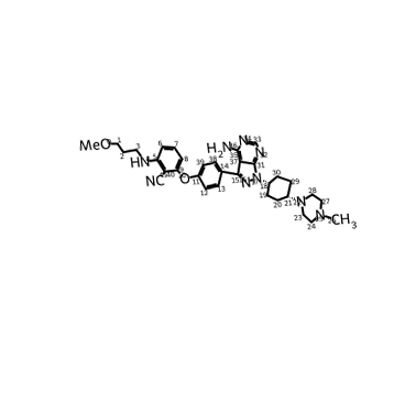 COCCCNc1cccc(Oc2ccc(-c3nn([C@H]4CC[C@@H](N5CCN(C)CC5)CC4)c4ncnc(N)c34)cc2)c1C#N